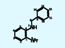 CCCc1ccc[c]c1NCc1ccccc1